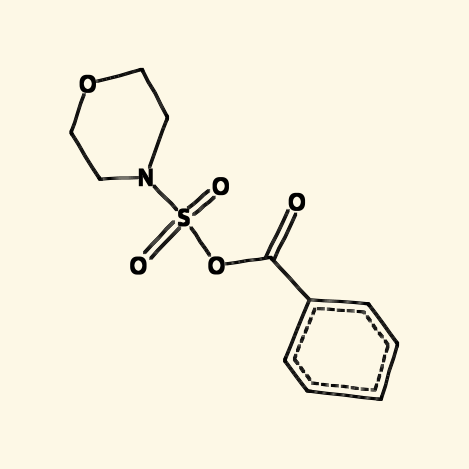 O=C(OS(=O)(=O)N1CCOCC1)c1ccccc1